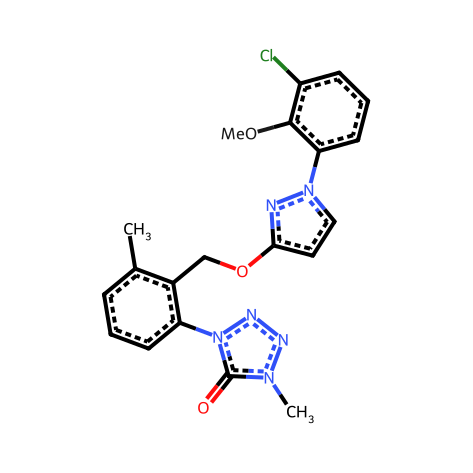 COc1c(Cl)cccc1-n1ccc(OCc2c(C)cccc2-n2nnn(C)c2=O)n1